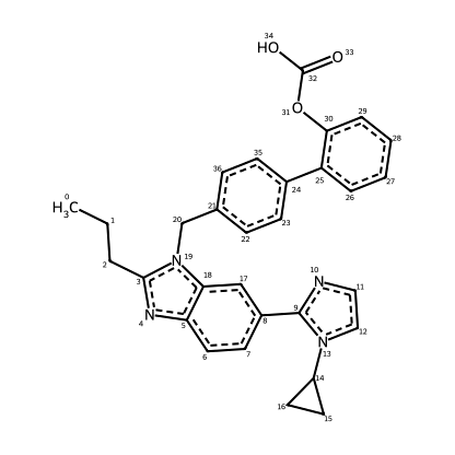 CCCc1nc2ccc(-c3nccn3C3CC3)cc2n1Cc1ccc(-c2ccccc2OC(=O)O)cc1